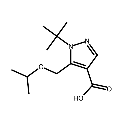 CC(C)OCc1c(C(=O)O)cnn1C(C)(C)C